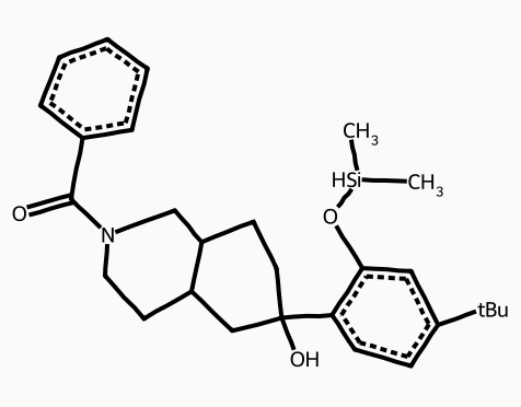 C[SiH](C)Oc1cc(C(C)(C)C)ccc1C1(O)CCC2CN(C(=O)c3ccccc3)CCC2C1